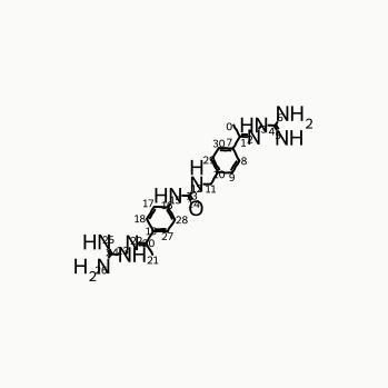 C/C(=N\NC(=N)N)c1ccc(CNC(=O)Nc2ccc(/C(C)=N/NC(=N)N)cc2)cc1